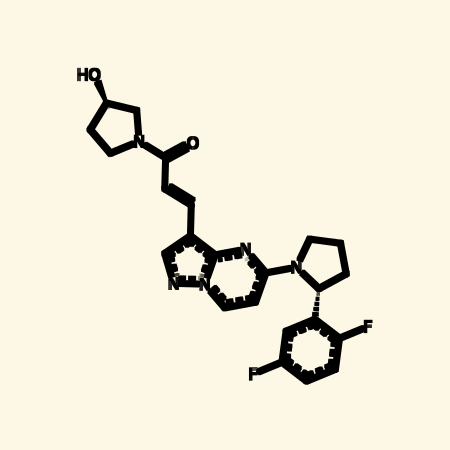 O=C(C=Cc1cnn2ccc(N3CCC[C@@H]3c3cc(F)ccc3F)nc12)N1CC[C@@H](O)C1